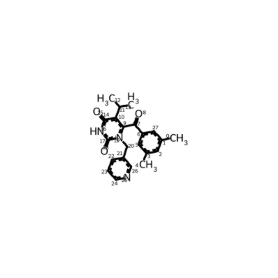 Cc1cc(C)cc(C(=O)c2c(C(C)C)c(=O)[nH]c(=O)n2Cc2cccnc2)c1